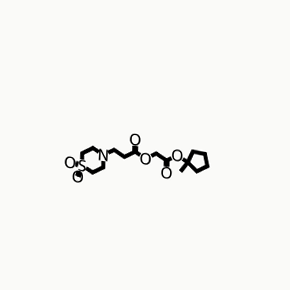 CC1(OC(=O)COC(=O)CCN2CCS(=O)(=O)CC2)CCCC1